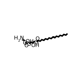 CCCCCCC/C=C/CCCCCCCC(=O)OC[C@@H](O)COP(=O)(O)OCCN